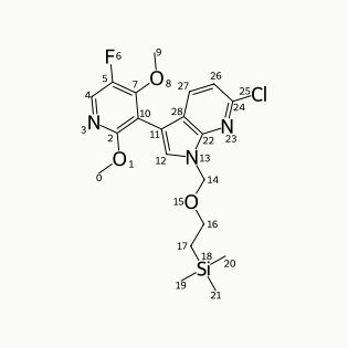 COc1ncc(F)c(OC)c1-c1cn(COCC[Si](C)(C)C)c2nc(Cl)ccc12